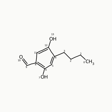 CCCCc1cc(O)c(C=O)cc1O